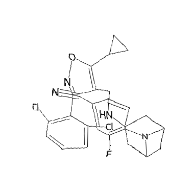 N#Cc1ccc(N2C3CC(NCc4c(-c5c(Cl)cccc5Cl)noc4C4CC4)CC2C3)c(F)c1